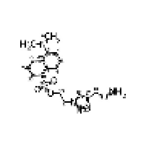 CN(C)c1cccc2c(S(=O)(=O)OCCn3cc(CON)nn3)cccc12